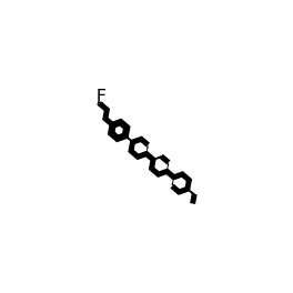 CC[C@H]1CC[C@H]([C@H]2CC[C@H]([C@H]3CC[C@H](c4ccc(CCCF)cc4)CC3)CC2)CC1